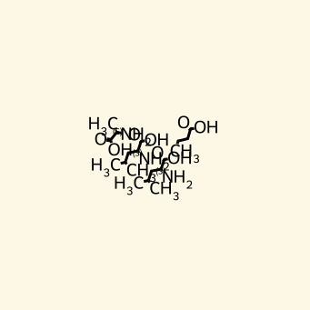 CC(C)C[C@H](N)C(=O)O.CC(C)C[C@H](N)C(=O)O.CCCC(=O)O.C[C@H](N)C(=O)O